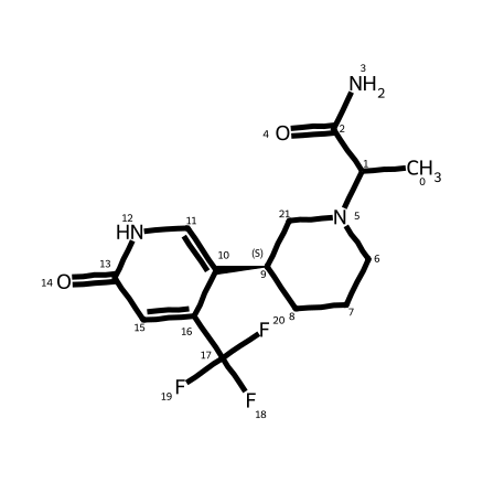 CC(C(N)=O)N1CCC[C@@H](c2c[nH]c(=O)cc2C(F)(F)F)C1